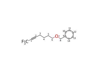 FC(F)(F)C#CCCCCOCc1ccccc1